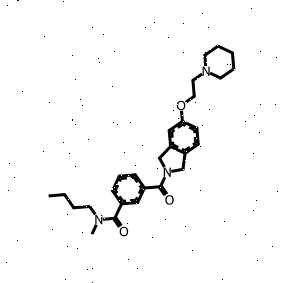 CCCCN(C)C(=O)c1cccc(C(=O)N2Cc3ccc(OCCN4CCCCC4)cc3C2)c1